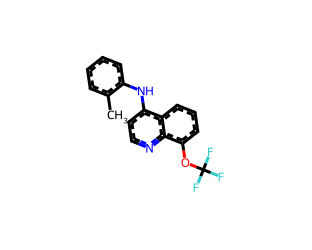 Cc1ccccc1Nc1ccnc2c(OC(F)(F)F)cccc12